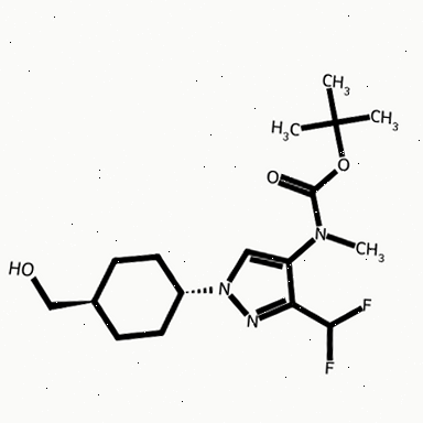 CN(C(=O)OC(C)(C)C)c1cn([C@H]2CC[C@H](CO)CC2)nc1C(F)F